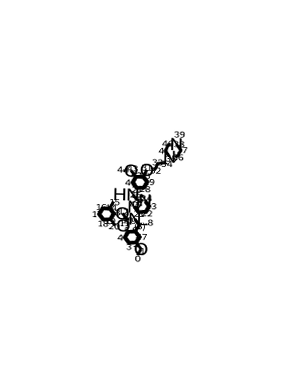 COc1cccc([C@H](C)N(C(=O)Oc2c(C)cccc2C)c2ccnc(Nc3ccc(OCCCN4CCN(C)CC4)c(OC)c3)n2)c1